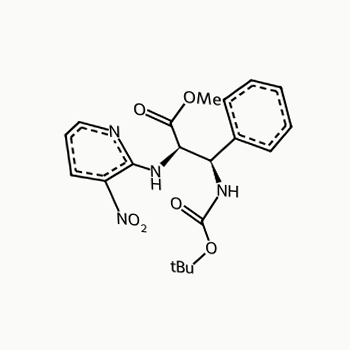 COC(=O)[C@H](Nc1ncccc1[N+](=O)[O-])[C@H](NC(=O)OC(C)(C)C)c1ccccc1